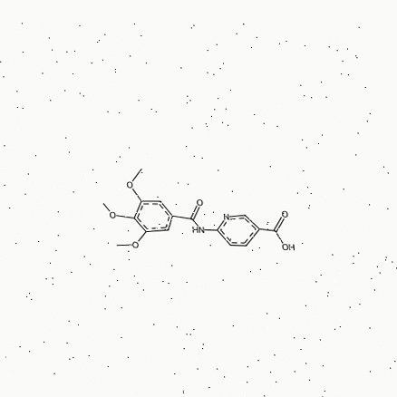 COc1cc(C(=O)Nc2ccc(C(=O)O)cn2)cc(OC)c1OC